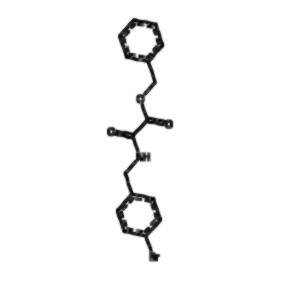 O=C(NCc1ccc(Br)cc1)C(=O)OCc1ccccc1